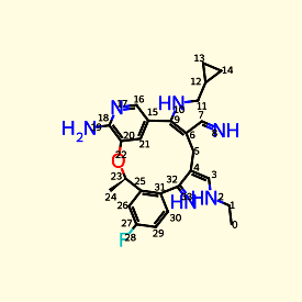 CCN/C=C1/C/C(C=N)=C(/NCC2CC2)c2cnc(N)c(c2)O[C@H](C)c2cc(F)ccc2C1=N